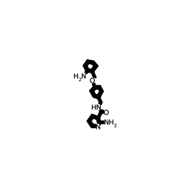 Nc1ccccc1COc1ccc(CNC(=O)c2cccnc2N)cc1